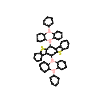 c1ccc(B2c3ccccc3B(c3c4sc5ccccc5c4c(B4c5ccccc5B(c5ccccc5)c5ccccc54)c4sc5ccccc5c34)c3ccccc32)cc1